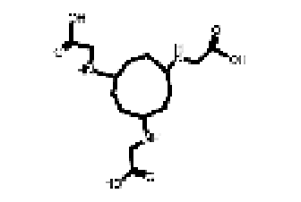 O=C(O)CNC1CCC(NCC(=O)O)CCC(NCC(=O)O)CC1